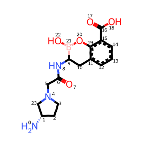 N[C@H]1CCN(CC(=O)NC2Cc3cccc(C(=O)O)c3OB2O)C1